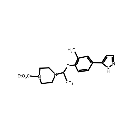 CCOC(=O)N1CCN(C(C)Oc2ccc(-c3ccn[nH]3)cc2C)CC1